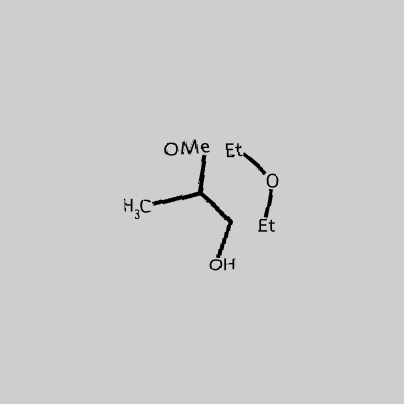 CCOCC.COC(C)CO